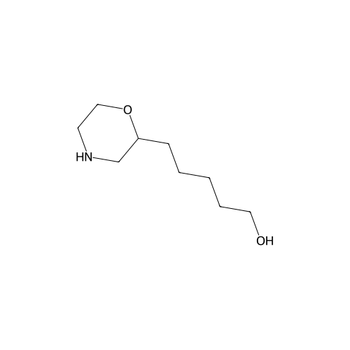 OCCCCCC1CNCCO1